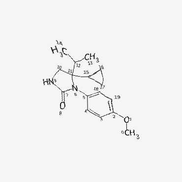 COc1ccc(N2C(=O)NCC2(C(C)C)C2CC2)cc1